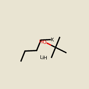 CC(C)(C)O.CCC[CH2][K].[LiH]